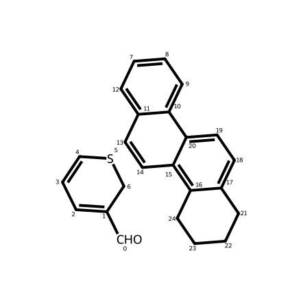 O=CC1=CC=CSC1.c1ccc2c(c1)ccc1c3c(ccc12)CCCC3